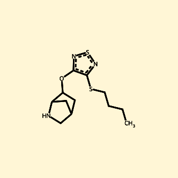 CCCCSc1nsnc1OC1CC2CNC1C2